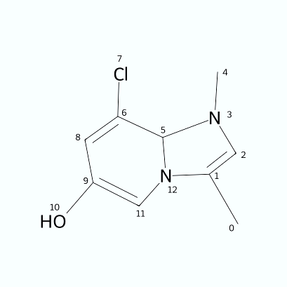 CC1=CN(C)C2C(Cl)=CC(O)=CN12